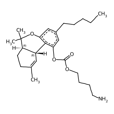 CCCCCc1cc(OC(=O)OCCCCN)c2c(c1)OC(C)(C)[C@@H]1CCC(C)=C[C@@H]21